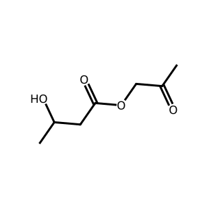 CC(=O)COC(=O)CC(C)O